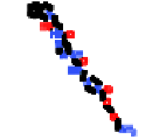 NCCOCCOCC(=O)N1CCN(CCNC(=O)CNc2cc(C(=O)NC[C@H](O)CN3CCc4ccccc4C3)ncn2)CC1